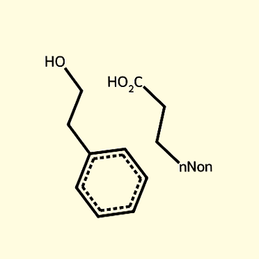 CCCCCCCCCCCC(=O)O.OCCc1ccccc1